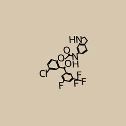 O=C(COc1ccc(Cl)cc1C(=O)c1cc(F)cc(C(F)(F)F)c1)Nc1ccc2c(c1)NCC2